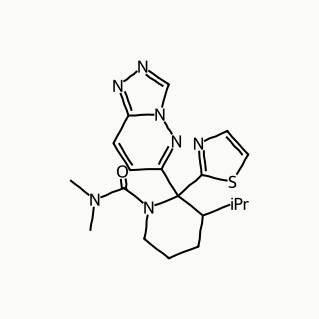 CC(C)C1CCCN(C(=O)N(C)C)C1(c1ccc2nncn2n1)c1nccs1